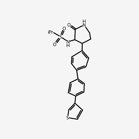 CC(C)S(=O)(=O)NC1C(=O)NCCC1c1ccc(-c2ccc(-c3ccsc3)cc2)cc1